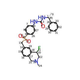 C[C@@H](NC(=O)Nc1ccc(S(=O)(=O)Cc2ccc3c(c2)C(F)CN(C)C3)cc1)c1ccccc1